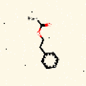 CCCC(C)C(=O)OCCc1ccccc1